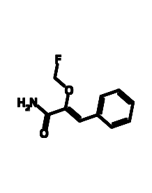 NC(=O)C(=Cc1ccccc1)OCF